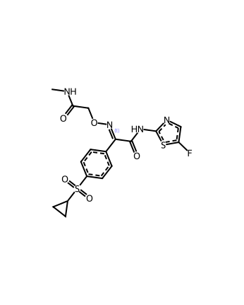 CNC(=O)CO/N=C(/C(=O)Nc1ncc(F)s1)c1ccc(S(=O)(=O)C2CC2)cc1